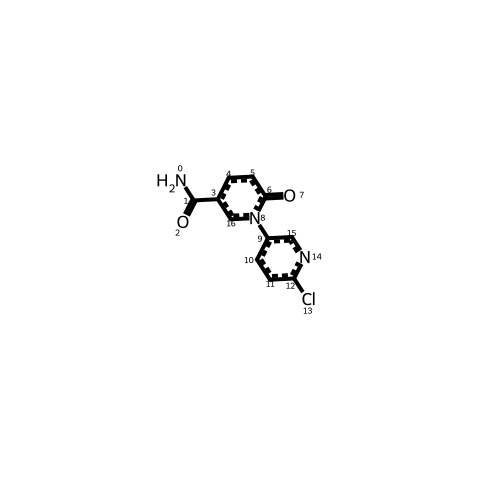 NC(=O)c1ccc(=O)n(-c2ccc(Cl)nc2)c1